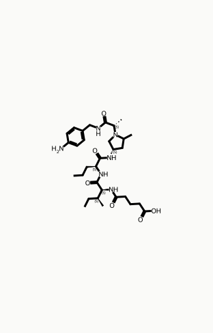 CCC[C@H](NC(=O)[C@@H](NC(=O)CCCC(=O)O)[C@@H](C)CC)C(=O)N[C@H]1CC(C)N([C@@H](C)C(=O)NCc2ccc(N)cc2)C1